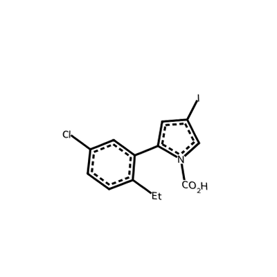 CCc1ccc(Cl)cc1-c1cc(I)cn1C(=O)O